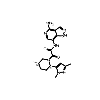 Cc1cc([C@H]2CC[C@H](C)CN2C(=O)C(=O)Nc2cnc(N)c3cn[nH]c23)n(C)n1